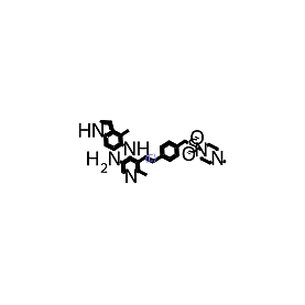 Cc1ncc(N)c(Nc2ccc3[nH]ccc3c2C)c1/C=C/c1ccc(CS(=O)(=O)N2CCN(C)CC2)cc1